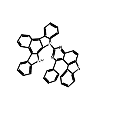 c1ccc(-c2nc(-n3c4ccccc4c4c5ccccc5c5c6ccccc6[nH]c5c43)nc3ccc4sc5ccccc5c4c23)cc1